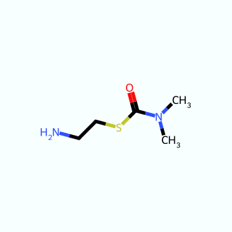 CN(C)C(=O)SCCN